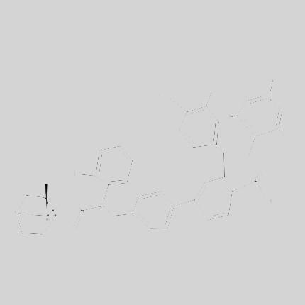 COc1ccc([C@H](Cc2c(Cl)c[n+]([O-])cc2Cl)c2cc(-c3ccc(CN(C(=O)O[C@H]4CN5CCC4CC5)c4ccccc4F)cc3)ccc2C(=O)O)cc1OC